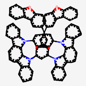 c1cc(-c2ccc3oc4ccccc4c3c2)cc(-n2c3ccccc3c3ccc4c5ccccc5n(-c5cccc(-n6c7ccccc7c7ccc8c9ccccc9n(-c9cccc(-c%10ccc%11oc%12ccccc%12c%11c%10)c9)c8c76)c5)c4c32)c1